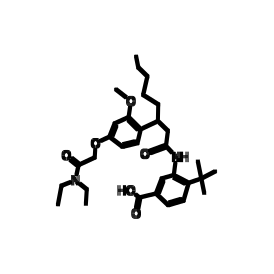 CCCCCC(CC(=O)Nc1cc(C(=O)O)ccc1C(C)(C)C)c1ccc(OCC(=O)N(CC)CC)cc1OC